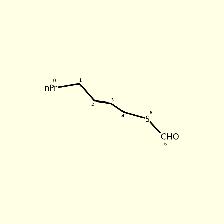 CCCCCCCSC=O